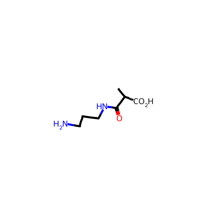 CC(C(=O)O)C(=O)NCCCN